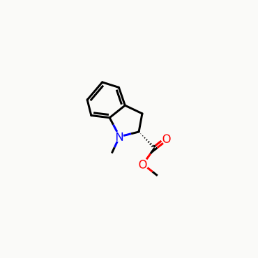 COC(=O)[C@H]1Cc2ccccc2N1C